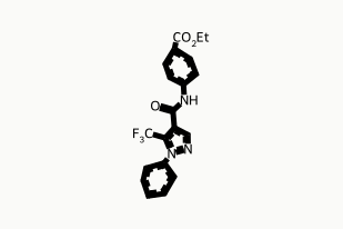 CCOC(=O)c1ccc(NC(=O)c2cnn(-c3ccccc3)c2C(F)(F)F)cc1